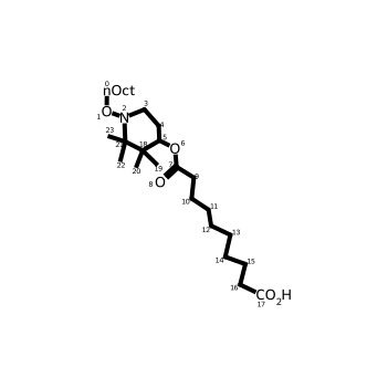 CCCCCCCCON1CCC(OC(=O)CCCCCCCCC(=O)O)C(C)(C)C1(C)C